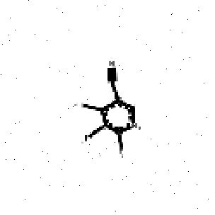 N#Cc1cnc(F)c(F)c1I